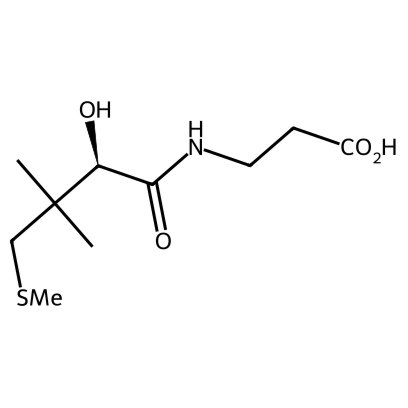 CSCC(C)(C)[C@@H](O)C(=O)NCCC(=O)O